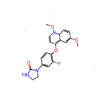 COC1=CC2=C(Oc3ccc(N4CCNC4=O)cc3F)C=CN(OC)C2C=C1